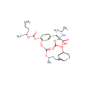 CCCC(C)OC(=O)Oc1ccc(C[C@](NC(C)C)(OC(=O)OC2CCCCC2)C(=O)O)cc1OC(=O)OC(C)CCC